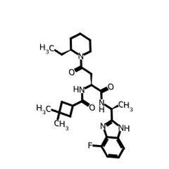 CC[C@H]1CCCCN1C(=O)C[C@H](NC(=O)C1CC(C)(C)C1)C(=O)N[C@@H](C)c1nc2c(F)cccc2[nH]1